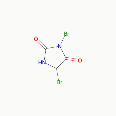 O=C1NC(Br)C(=O)N1Br